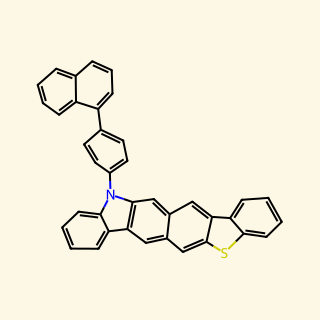 c1ccc2c(-c3ccc(-n4c5ccccc5c5cc6cc7sc8ccccc8c7cc6cc54)cc3)cccc2c1